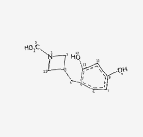 O=C(O)N1CC(Cc2ccc(O)cc2O)C1